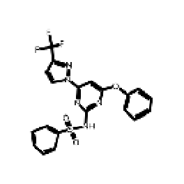 O=S(=O)(Nc1nc(Oc2ccccc2)cc(-n2ccc(C(F)(F)F)n2)n1)c1ccccc1